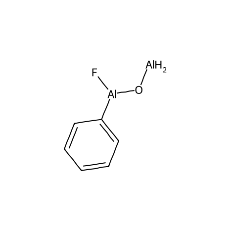 [F][Al]([O][AlH2])[c]1ccccc1